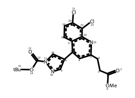 COC(=O)CCc1cc(-c2cnn(C(=O)OC(C)(C)C)c2)c2ccc(Cl)c(Cl)c2n1